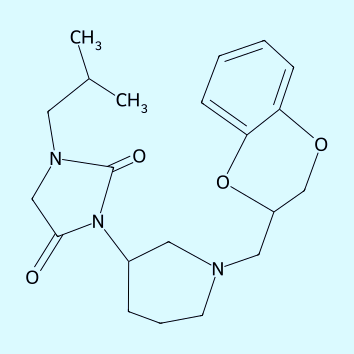 CC(C)CN1CC(=O)N(C2CCCN(CC3COc4ccccc4O3)C2)C1=O